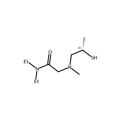 CCN(CC)C(=O)CN(C)C[C@H](C)S